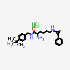 CC(C)(C)c1ccc(CNC(=O)C(N)CCCCNC2CC2c2ccccc2)cc1.Cl.Cl